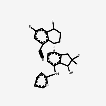 N#Cc1cc(F)cc2c1[C@@H](c1ccc(Nc3ccccn3)c3c1CC(F)(F)[C@H]3O)CC[C@@H]2F